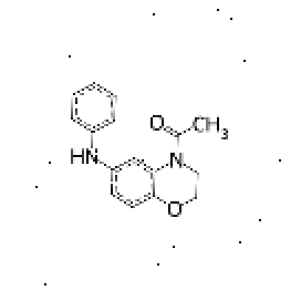 CC(=O)N1CCOc2ccc(Nc3ccccc3)cc21